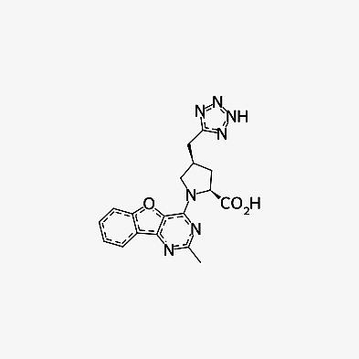 Cc1nc(N2C[C@@H](Cc3nn[nH]n3)C[C@H]2C(=O)O)c2oc3ccccc3c2n1